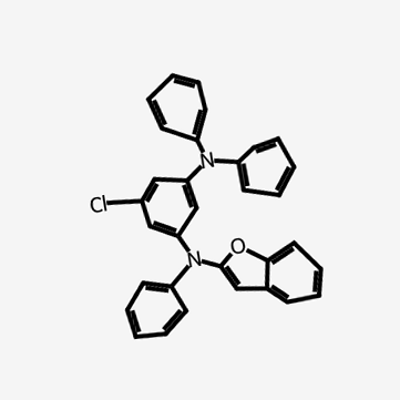 Clc1cc(N(c2ccccc2)c2ccccc2)cc(N(c2ccccc2)c2cc3ccccc3o2)c1